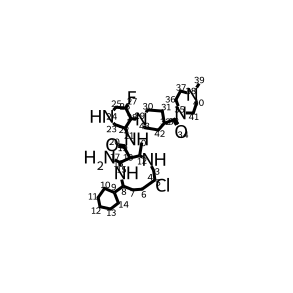 CC1NCC(Cl)CCC(C2CCCCC2)NC(N)C1C(=O)NC1CNCC(F)C1N1CCC(C(=O)N2CCN(C)CC2)CC1